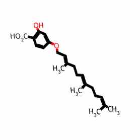 CC(C)=CCC/C(C)=C/CC/C(C)=C/COc1ccc(C(=O)O)c(O)c1